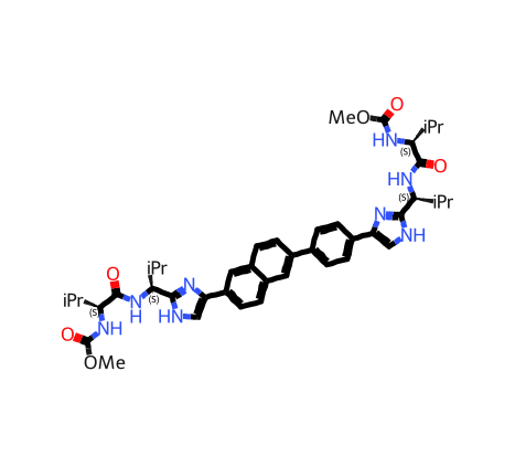 COC(=O)N[C@H](C(=O)N[C@H](c1nc(-c2ccc(-c3ccc4cc(-c5c[nH]c([C@@H](NC(=O)[C@@H](NC(=O)OC)C(C)C)C(C)C)n5)ccc4c3)cc2)c[nH]1)C(C)C)C(C)C